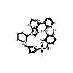 O=S(=O)(Nc1ccc(F)c(Nc2ncccc2-c2ncnc3c2ncn3C2CCCCO2)c1F)c1ccc(Cl)s1